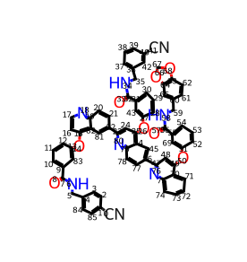 N#Cc1ccc(CNC(=O)c2cccc(Oc3ccnc4ccc(-c5cc(Oc6cccc(C(=O)NCc7cccc(C#N)c7)c6)c6cc(-c7cc(Oc8cccc(C(=O)NCc9ccc%10c(c9)OCO%10)c8)c8ccccc8n7)ccc6n5)cc34)c2)cc1